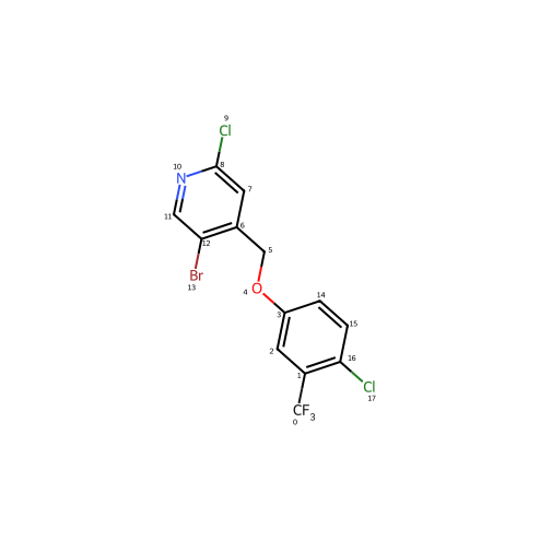 FC(F)(F)c1cc(OCc2cc(Cl)ncc2Br)ccc1Cl